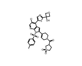 Cc1ccc(S(=O)(=O)n2c(C3=CCN(C(=O)C4CCS(=O)(=O)C4)CC3)cc3c(-c4cnc(C5(O)COC5)s4)c(Cl)cnc32)cc1